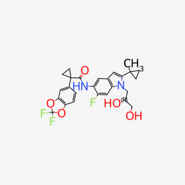 CC1(c2cc3cc(NC(=O)C4(c5ccc6c(c5)OC(F)(F)O6)CC4)c(F)cc3n2C[C@@H](O)CO)CC1